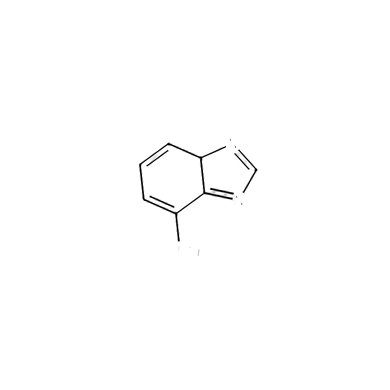 CC(C)(C)C1=CC=CC2N=CN=C12